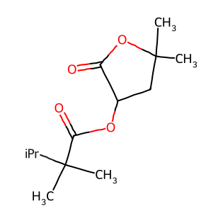 CC(C)C(C)(C)C(=O)OC1CC(C)(C)OC1=O